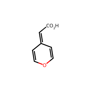 O=C(O)C=C1C=COC=C1